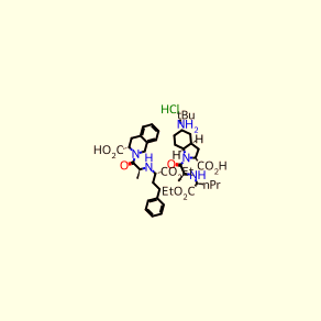 CC(C)(C)N.CCC[C@H](N[C@@H](C)C(=O)N1[C@H](C(=O)O)C[C@@H]2CCCC[C@@H]21)C(=O)OCC.CCOC(=O)[C@H](CCc1ccccc1)N[C@@H](C)C(=O)N1Cc2ccccc2C[C@H]1C(=O)O.Cl